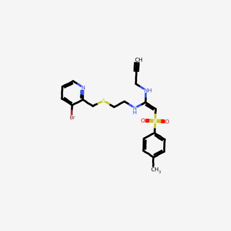 C#CCNC(=CS(=O)(=O)c1ccc(C)cc1)NCCSCc1ncccc1Br